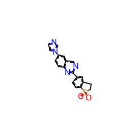 O=S1(=O)CCc2cc(-c3ncc4cc(-n5ccnc5)ccc4n3)ccc21